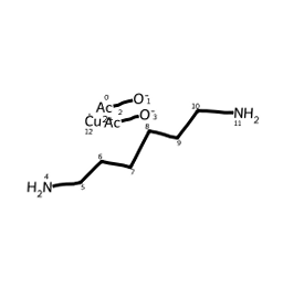 CC(=O)[O-].CC(=O)[O-].NCCCCCCN.[Cu+2]